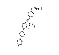 CCCCCC1CCC(/C=C/c2ccc(-c3ccc(-c4ccc(C)cc4)cc3)c(F)c2C(F)(F)F)CC1